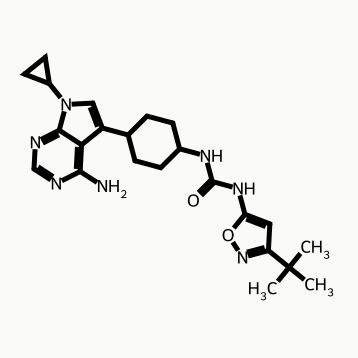 CC(C)(C)c1cc(NC(=O)NC2CCC(c3cn(C4CC4)c4ncnc(N)c34)CC2)on1